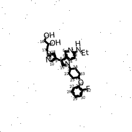 CCNc1cc2c(cn1)c(-c1cnn(C[C@@H](O)CO)c1)cn2C1CCC(Oc2ccccc2F)CC1